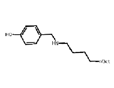 CCCCCCCCCCCCNCc1ccc(O)cc1